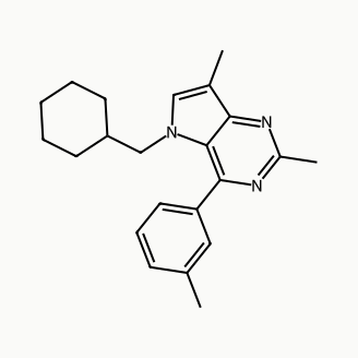 Cc1cccc(-c2nc(C)nc3c(C)cn(CC4CCCCC4)c23)c1